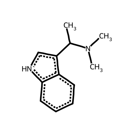 CC(c1c[nH]c2ccccc12)N(C)C